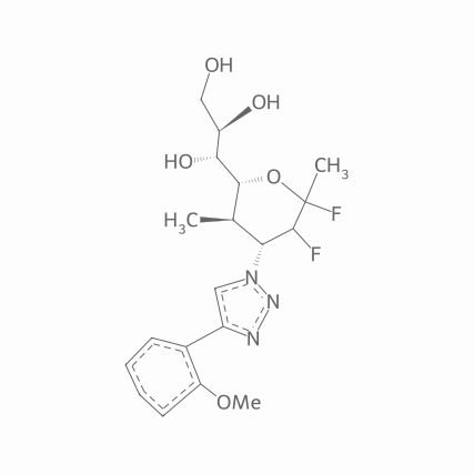 COc1ccccc1-c1cn([C@H]2C(F)C(C)(F)O[C@@H]([C@H](O)[C@H](O)CO)[C@@H]2C)nn1